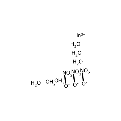 O.O.O.O.O.O.O=[N+]([O-])[O-].O=[N+]([O-])[O-].O=[N+]([O-])[O-].[In+3]